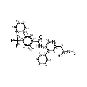 NC(=O)Cc1cc(-c2ccccc2)c(NC(=O)c2cc(-c3ccccn3)c(C(F)(F)F)cc2F)cn1